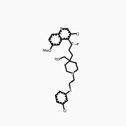 COc1ccc2ncc(Cl)c([C@H](F)CCC3(CO)CCN(CCSc4cccc(Cl)c4)CC3)c2c1